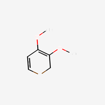 CCCOC1=C(OCCC)CSC=C1